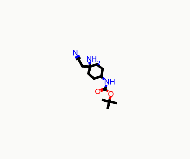 CC(C)(C)OC(=O)NC1CCC(N)(CC#N)CC1